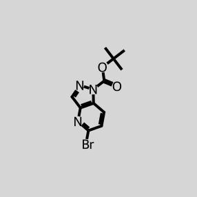 CC(C)(C)OC(=O)n1ncc2nc(Br)ccc21